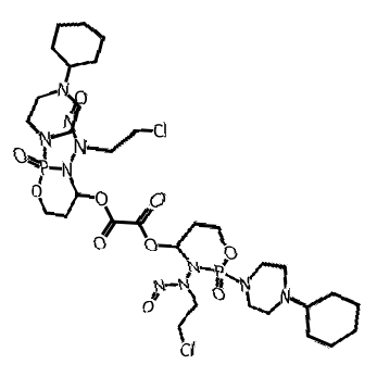 O=NN(CCCl)N1C(OC(=O)C(=O)OC2CCOP(=O)(N3CCN(C4CCCCC4)CC3)N2N(CCCl)N=O)CCOP1(=O)N1CCN(C2CCCCC2)CC1